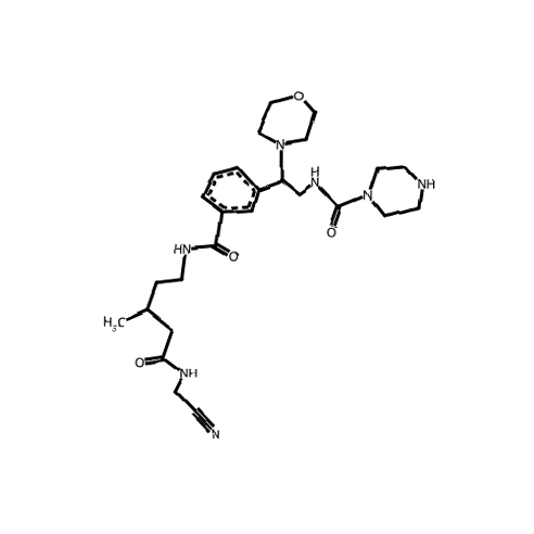 CC(CCNC(=O)c1cccc(C(CNC(=O)N2CCNCC2)N2CCOCC2)c1)CC(=O)NCC#N